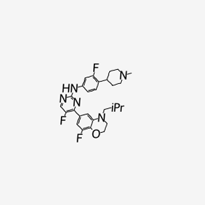 CC(C)CN1CCOc2c(F)cc(-c3nc(Nc4ccc(C5CCN(C)CC5)c(F)c4)ncc3F)cc21